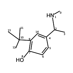 CNC(C)c1ccc(O)c(C(C)(C)C)c1